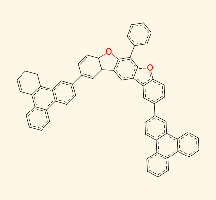 C1=Cc2c(c3cc(C4=CC5c6cc7c(oc8ccc(-c9ccc%10c%11ccccc%11c%11ccccc%11c%10c9)cc87)c(-c7ccccc7)c6OC5C=C4)ccc3c3ccccc23)CC1